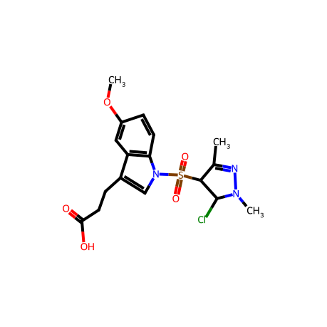 COc1ccc2c(c1)c(CCC(=O)O)cn2S(=O)(=O)C1C(C)=NN(C)C1Cl